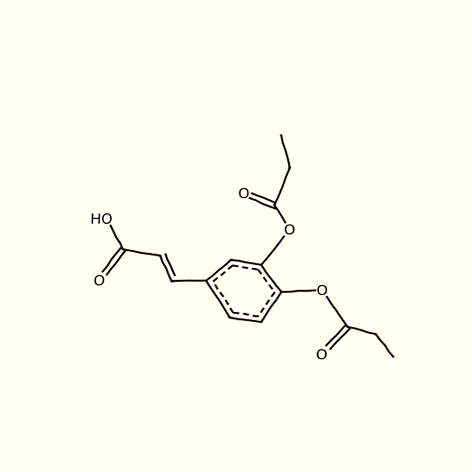 CCC(=O)Oc1ccc(/C=C/C(=O)O)cc1OC(=O)CC